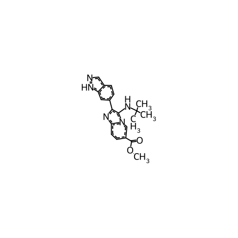 COC(=O)c1ccc2nc(-c3ccc4cn[nH]c4c3)c(NC(C)(C)C)n2c1